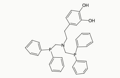 Oc1ccc(CCN(CP(c2ccccc2)c2ccccc2)CP(c2ccccc2)c2ccccc2)cc1O